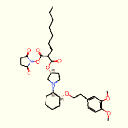 CCCCCCCC(C(=O)O[C@@H]1CCN([C@@H]2CCCC[C@H]2OCCc2ccc(OC)c(OC)c2)C1)C(=O)ON1C(=O)CCC1=O